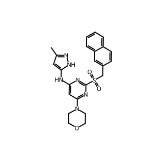 Cc1cc(Nc2cc(N3CCOCC3)nc(S(=O)(=O)Cc3ccc4ccccc4c3)n2)[nH]n1